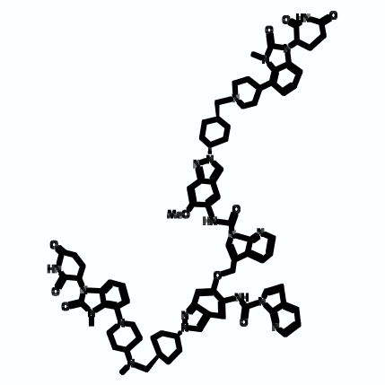 COc1cc2nn([C@H]3CC[C@H](CN4CCC(c5cccc6c5n(C)c(=O)n6C5CCC(=O)NC5=O)CC4)CC3)cc2cc1NC(=O)n1cc(COc2cc3nn([C@H]4CC[C@H](CN(C)C5CCN(c6cccc7c6n(C)c(=O)n7C6CCC(=O)NC6=O)CC5)CC4)cc3cc2NC(=O)n2ccc3cccnc32)c2cccnc21